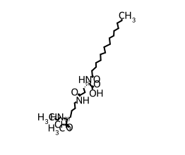 CCCCCCCCCCCCCCCC(=O)N[C@@H](CCC(=O)NCCCC[C@H](NC(C)C)C(C)=O)C(=O)O